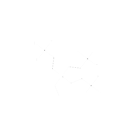 [CH2]C[Si](CCC(F)(F)F)(CCC(F)(F)F)CCC(F)(F)F